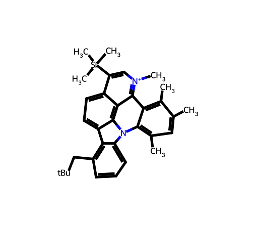 Cc1cc(C)c2c(c1C)c1c3c(ccc4c5c(CC(C)(C)C)cccc5n2c43)c([Si](C)(C)C)c[n+]1C